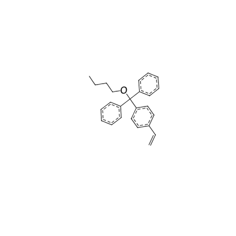 C=Cc1ccc(C(OCCCC)(c2ccccc2)c2ccccc2)cc1